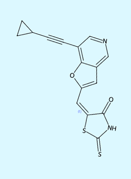 O=C1NC(=S)S/C1=C/c1cc2cncc(C#CC3CC3)c2o1